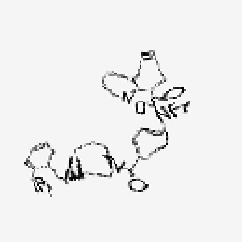 CC(C)c1ccccc1CN1CCCN(C(=O)c2ccc(NS(=O)(=O)c3cccc4cccnc34)cc2)CC1